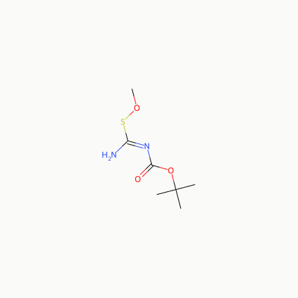 COSC(N)=NC(=O)OC(C)(C)C